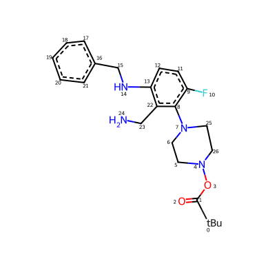 CC(C)(C)C(=O)ON1CCN(c2c(F)ccc(NCc3ccccc3)c2CN)CC1